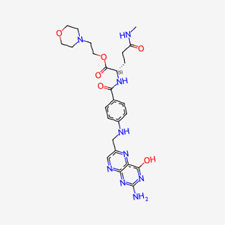 CNC(=O)CC[C@H](NC(=O)c1ccc(NCc2cnc3nc(N)nc(O)c3n2)cc1)C(=O)OCCN1CCOCC1